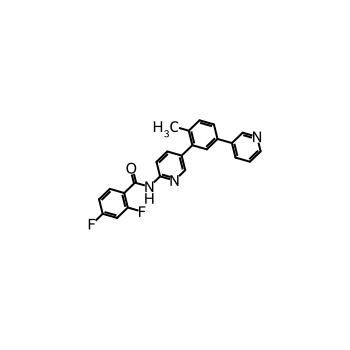 Cc1ccc(-c2cccnc2)cc1-c1ccc(NC(=O)c2ccc(F)cc2F)nc1